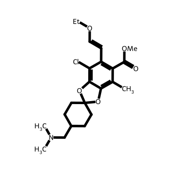 CCO/C=C/c1c(Cl)c2c(c(C)c1C(=O)OC)OC1(CCC(CN(C)C)CC1)O2